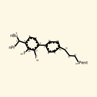 CCCCC(CCC)c1ccc(-c2ccc(CCCC(C)CCC)cc2)c(F)c1F